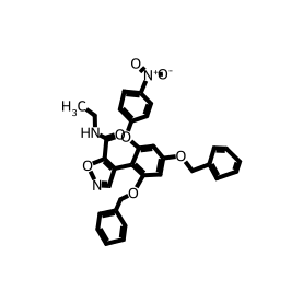 CCNC(=O)c1oncc1-c1c(OCc2ccccc2)cc(OCc2ccccc2)cc1Oc1ccc([N+](=O)[O-])cc1